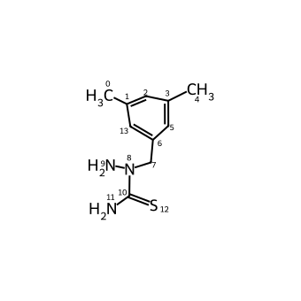 Cc1cc(C)cc(CN(N)C(N)=S)c1